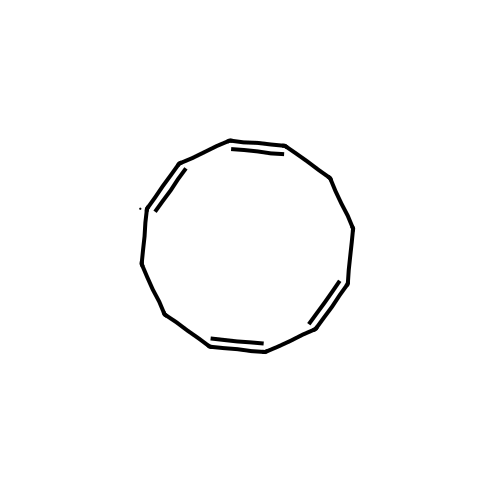 [C]1=CC=CCCC=CC=CCC1